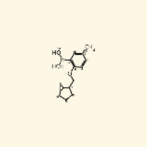 Cc1ccc(OCC2CCCO2)c(B(O)O)c1